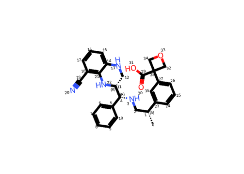 C[C@H](CN[C@H](c1ccccc1)[C@H]1CNc2cccc(C#N)c2N1)c1cccc(C2(C(=O)O)COC2)c1